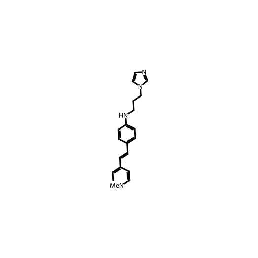 C/C=C(\C=C/NC)/C=C/c1ccc(NCCCn2ccnc2)cc1